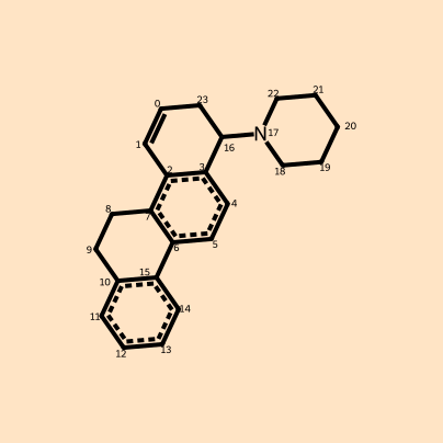 C1=Cc2c(ccc3c2CCc2ccccc2-3)C(N2CCCCC2)C1